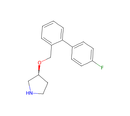 Fc1ccc(-c2ccccc2CO[C@H]2CCNC2)cc1